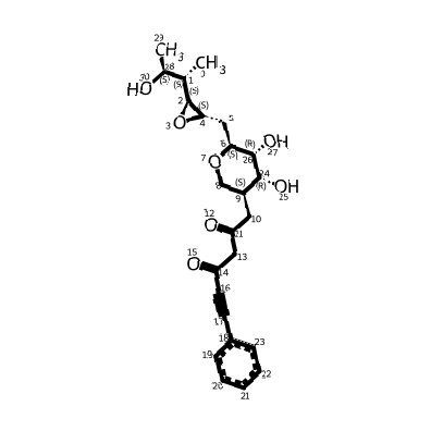 C[C@H]([C@@H]1O[C@H]1C[C@@H]1OC[C@H](CC(=O)CC(=O)C#Cc2ccccc2)[C@@H](O)[C@H]1O)[C@H](C)O